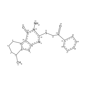 CC1CCCc2c1sc1nc(SCC(=O)c3ccccc3)n(N)c(=O)c21